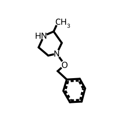 CC1CN(OCc2ccccc2)CCN1